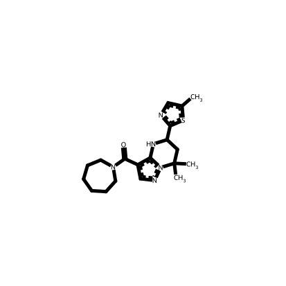 Cc1cnc(C2CC(C)(C)n3ncc(C(=O)N4CCCCCC4)c3N2)s1